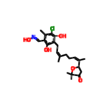 CC(=CCc1c(O)c(Cl)c(C)c(C=NO)c1O)CCC=C(C)C1CC(=O)C(C)(C)O1